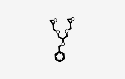 c1ccc(COC(COCC2CO2)COCC2CO2)cc1